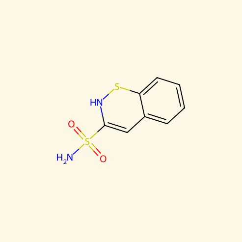 NS(=O)(=O)C1=Cc2ccccc2SN1